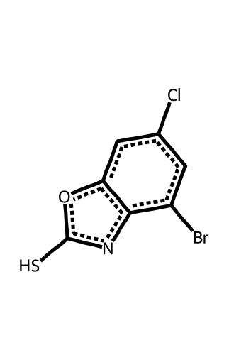 Sc1nc2c(Br)cc(Cl)cc2o1